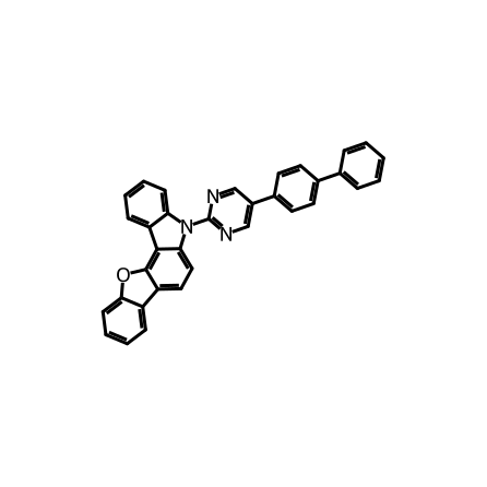 c1ccc(-c2ccc(-c3cnc(-n4c5ccccc5c5c6oc7ccccc7c6ccc54)nc3)cc2)cc1